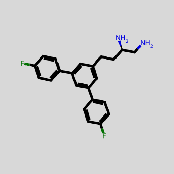 NC[C@H](N)CCc1cc(-c2ccc(F)cc2)cc(-c2ccc(F)cc2)c1